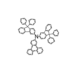 c1ccc(C2(c3ccccc3)c3ccccc3-c3cc(N(c4ccc5c(c4)-c4ccccc4C5(c4ccccc4)c4ccccc4)c4ccc5c6ccccc6c6ccccc6c5c4)ccc32)cc1